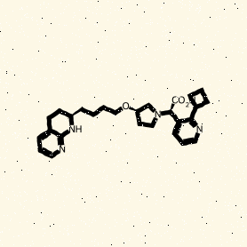 O=C(O)[C@@H](c1cccnc1C1CCC1)N1CC[C@@H](OCCCC[C@@H]2CCc3cccnc3N2)C1